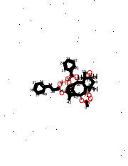 CC(=O)O[C@H]1C(=O)[C@]23C[C@H]2C[C@H]2OC[C@H]2C3[C@H](OC(=O)c2ccccc2)[C@]2(O)C[C@H](OC(=O)CCc3ccccc3)C(C)=C1C2(C)C